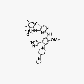 COc1cc(N2CCC(N3CCCC3)CC2)c(-c2cnn(C)c2)cc1Nc1ncc(Cl)c(Nc2ccc(C)c(C)c2P(C)(C)=O)n1